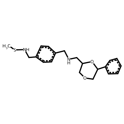 CSNCc1ccc(CNCC2COCC(c3ccccc3)O2)cc1